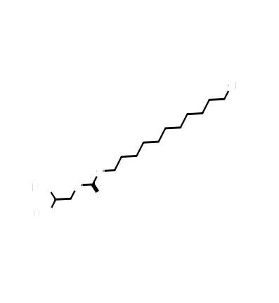 CCCCCCCCCCCCOC(=O)OCC(C)C